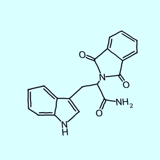 NC(=O)C(Cc1c[nH]c2ccccc12)N1C(=O)c2ccccc2C1=O